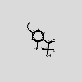 COc1ccc(C(=O)C(C)(C)O)c(F)c1